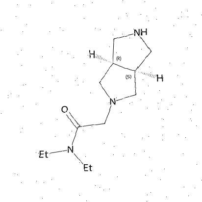 CCN(CC)C(=O)CN1C[C@H]2CNC[C@H]2C1